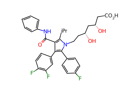 CC(C)c1c(C(=O)Nc2ccccc2)c(-c2ccc(F)c(F)c2)c(-c2ccc(F)cc2)n1CC[C@@H](O)C[C@@H](O)CC(=O)O